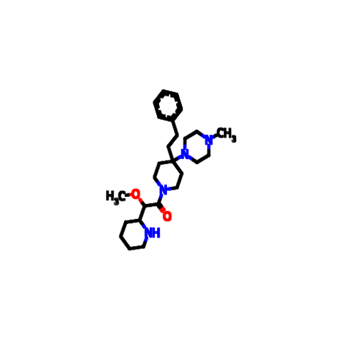 COC(C(=O)N1CCC(CCc2ccccc2)(N2CCN(C)CC2)CC1)C1CCCCN1